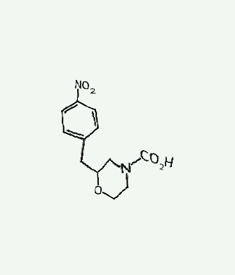 O=C(O)N1CCOC(Cc2ccc([N+](=O)[O-])cc2)C1